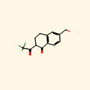 O=C1c2ccc(CO)cc2CCC1C(=O)C(F)(F)F